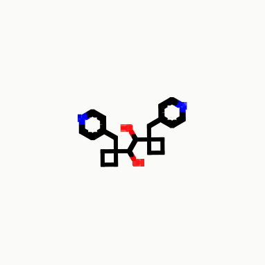 OC(C(O)C1(Cc2ccncc2)CCC1)C1(Cc2ccncc2)CCC1